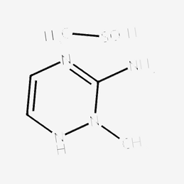 CN1NC=CN=C1N.CS(=O)(=O)O